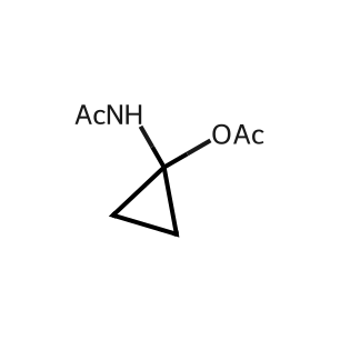 CC(=O)NC1(OC(C)=O)CC1